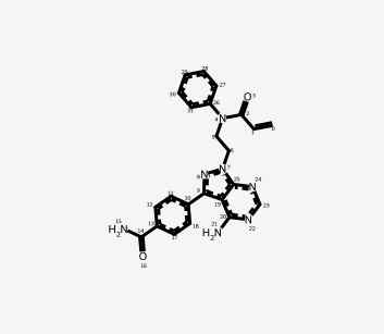 C=CC(=O)N(CCn1nc(-c2ccc(C(N)=O)cc2)c2c(N)ncnc21)c1ccccc1